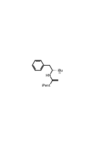 C=C(NC(Cc1ccccc1)[C@@H](C)CC)C(C)CCC